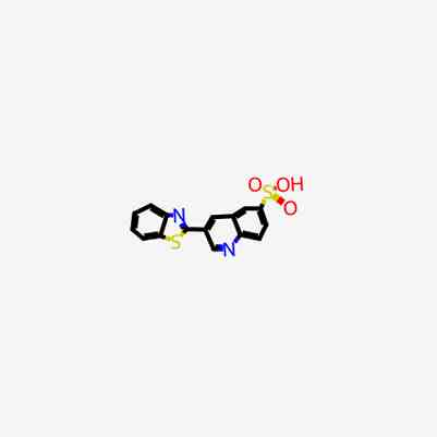 O=S(=O)(O)c1ccc2ncc(-c3nc4ccccc4s3)cc2c1